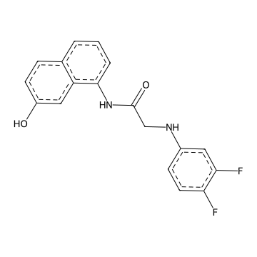 O=C(CNc1ccc(F)c(F)c1)Nc1cccc2ccc(O)cc12